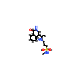 CNS(=O)(=O)CCCNC(C)c1c[nH]c(=O)c2ccccc12